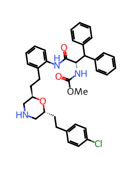 COC(=O)N[C@H](C(=O)Nc1ccccc1CC[C@@H]1CNC[C@@H](CCc2ccc(Cl)cc2)O1)C(c1ccccc1)c1ccccc1